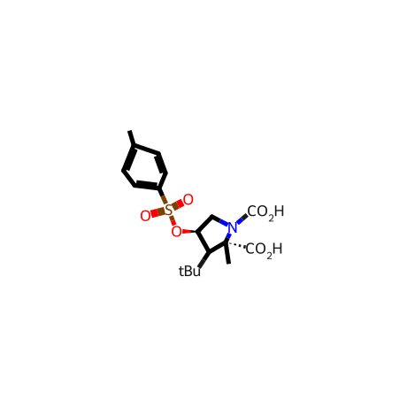 Cc1ccc(S(=O)(=O)O[C@H]2CN(C(=O)O)[C@](C)(C(=O)O)C2C(C)(C)C)cc1